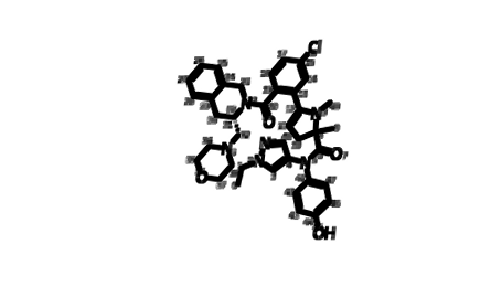 CCn1cc(N(C(=O)C2(C)CC=C(c3cc(Cl)ccc3C(=O)N3Cc4ccccc4C[C@H]3CN3CCOCC3)N2C)c2ccc(O)cc2)cn1